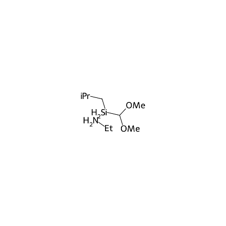 CCN.COC(OC)[SiH2]CC(C)C